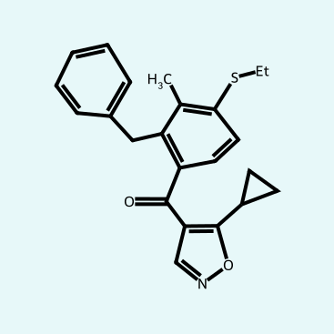 CCSc1ccc(C(=O)c2cnoc2C2CC2)c(Cc2ccccc2)c1C